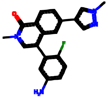 Cn1cc(-c2ccc3c(=O)n(C)cc(-c4cc(N)ccc4F)c3c2)cn1